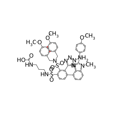 COc1ccc(CN(Cc2ccc(OC)cc2)S(=O)(=O)c2c(S(=O)(=O)NCCCNC(=O)O)ccc(-c3cccc4c3nc(N)n4C)c2-c2nnn(Cc3ccc(OC)cc3)n2)cc1